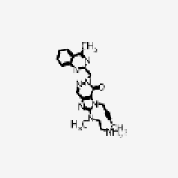 CC#CCn1c(N(C)CCN)nc2cnn(Cc3nc(C)c4ccccc4n3)c(=O)c21